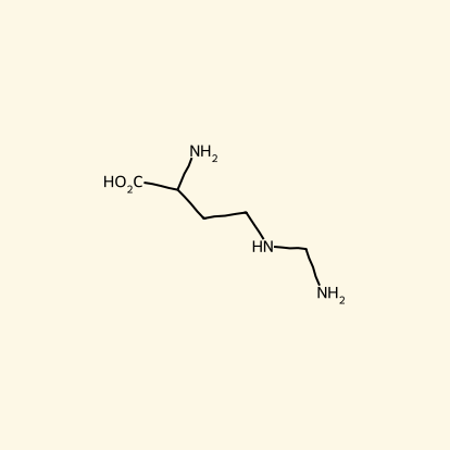 NCNCCC(N)C(=O)O